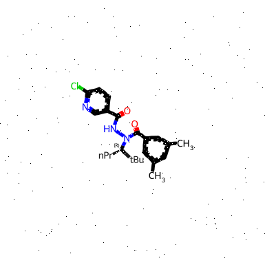 CCC[C@@H](N(NC(=O)c1ccc(Cl)nc1)C(=O)c1cc(C)cc(C)c1)C(C)(C)C